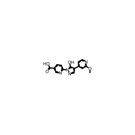 COc1cc(-c2cnn(-c3ccc(C(=O)O)cn3)c2O)ccn1